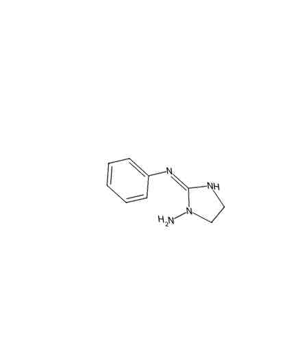 NN1CCNC1=Nc1ccccc1